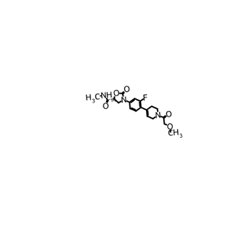 CNC(=O)[C@H]1CN(c2ccc(C3=CCN(C(=O)COC)CC3)c(F)c2)C(=O)O1